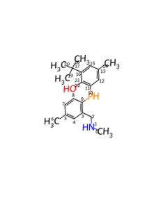 CNCc1cc(C)ccc1Pc1cc(C)cc(C(C)(C)C)c1O